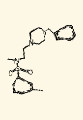 Cc1cccc(S(=O)(=O)N(C)CCN2CCN(Cc3ccccc3)CC2)c1